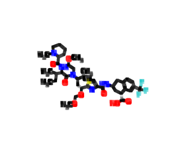 CCC(C)C(NC(=O)C1CCCCN1C)C(=O)N(CCOC)[C@H](C[C@@H](OCOC)c1nc(C(=O)N[C@H]2Cc3ccc(C(F)(F)F)cc3[C@H](C(=O)O)C2)cs1)C(C)C